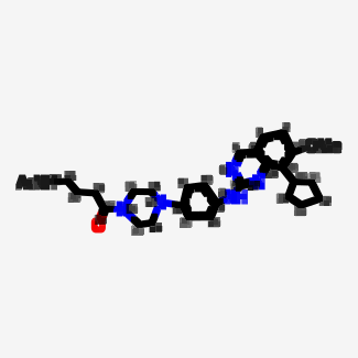 COc1ccc2cnc(Nc3ccc(N4CCN(C(=O)CCCNC(C)=O)CC4)cc3)nc2c1C1CCCC1